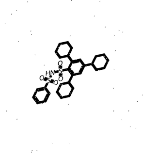 O=S(=O)(NS(=O)(=O)c1c(C2CCCCC2)cc(C2CCCCC2)cc1C1CCCCC1)c1ccccc1